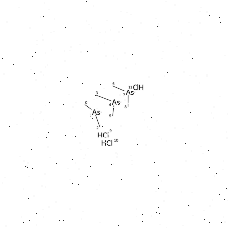 C[As]C.C[As]C.C[As]C.Cl.Cl.Cl